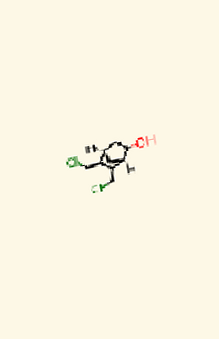 O[C@H]1C[C@H]2C[C@@H]1C(CCl)C2CCl